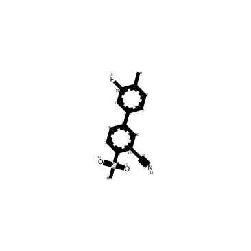 Cc1ccc(-c2ccc(S(C)(=O)=O)c(C#N)c2)cc1F